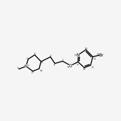 CN1CCC(CCCOc2ccc(Br)cn2)CC1